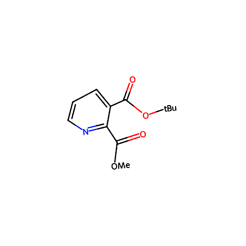 COC(=O)c1ncccc1C(=O)OC(C)(C)C